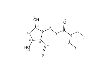 CCC(CC)C(=O)CCC1C(O)CC(O)C1C=O